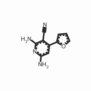 N#Cc1c(-c2ccco2)cc(N)nc1N